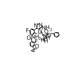 [2H]C([2H])([2H])N(CCOc1c(N)ncnc1-c1cc(F)cc(NC(=O)c2ccc3c(c2F)OCC32CC2)c1C)C(=O)OCc1ccccc1